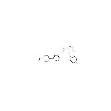 CC1CC[C@@H](C(=O)NCc2cc(C3=CCN(C(=O)OC(C)(C)C)CC3)ncc2F)N1[S+]([O-])c1ccc(F)cc1